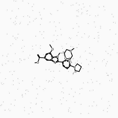 C=C(OC)c1cc(OC)c2c(c1)nc(-c1ccc(N3CCC[C@@H]3C)nc1)n2C[C@@H]1CN(C)C[C@H](C)O1